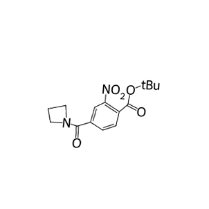 CC(C)(C)OC(=O)c1ccc(C(=O)N2CCC2)cc1[N+](=O)[O-]